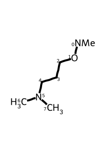 CNOCCCN(C)C